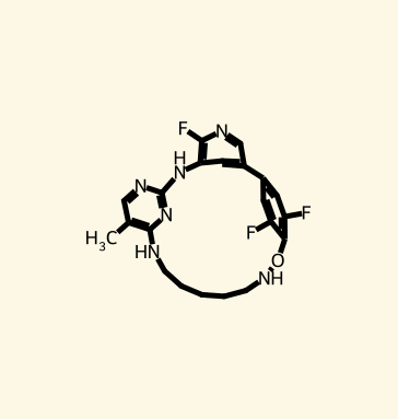 Cc1cnc2nc1NCCCCCNOc1c(F)cc(cc1F)-c1cnc(F)c(c1)N2